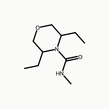 CCC1COCC(CC)N1C(=O)NC